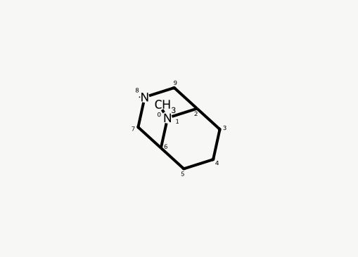 CN1C2CCCC1C[N]C2